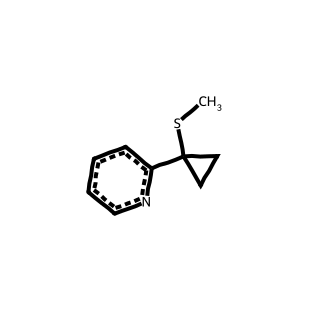 CSC1(c2ccccn2)CC1